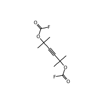 CC(C)(C#CC(C)(C)OC(=O)F)OC(=O)F